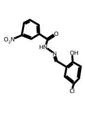 O=C(N/N=C/c1cc(Cl)ccc1O)c1cccc([N+](=O)[O-])c1